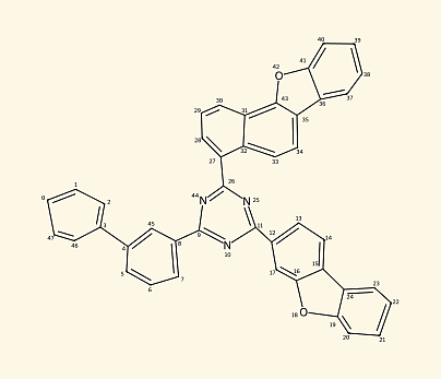 c1ccc(-c2cccc(-c3nc(-c4ccc5c(c4)oc4ccccc45)nc(-c4cccc5c4ccc4c6ccccc6oc54)n3)c2)cc1